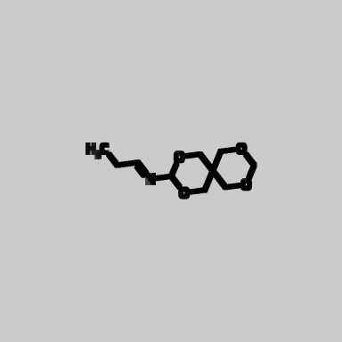 CC/C=N/C1OCC2(COCOC2)CO1